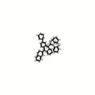 c1ccc(-c2ccc3c(-c4ccc5ccccc5c4)c4ccccc4c(-c4nc5cccc6c5n4-c4ccccc4O6)c3c2)cc1